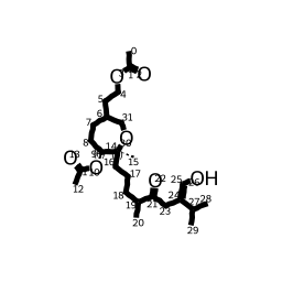 CC(=O)OCCC1CC[C@@H](OC(C)=O)[C@](C)(CCCC(C)C(=O)CC(=CO)C(C)C)OC1